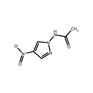 CC(=O)Nn1cc([N+](=O)[O-])cn1